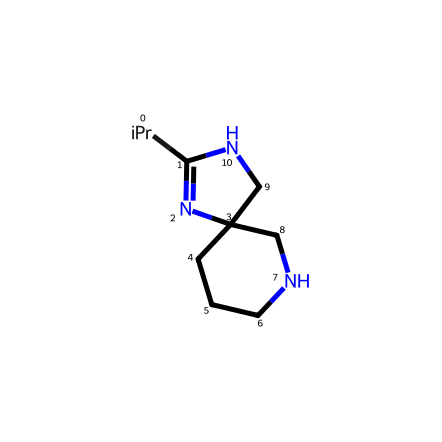 CC(C)C1=NC2(CCCNC2)CN1